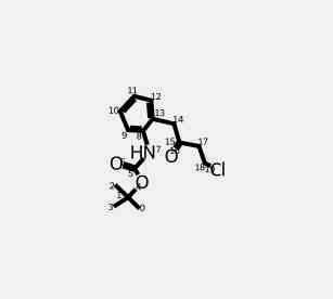 CC(C)(C)OC(=O)Nc1ccccc1CC(=O)CCCl